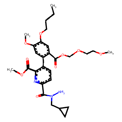 CCCCOc1cc(C(=O)OCOCCOC)c(-c2ccc(C(=O)N(N)CC3CC3)nc2C(=O)OC)cc1OC